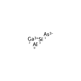 [Al].[As-3].[Ga+3].[Si]